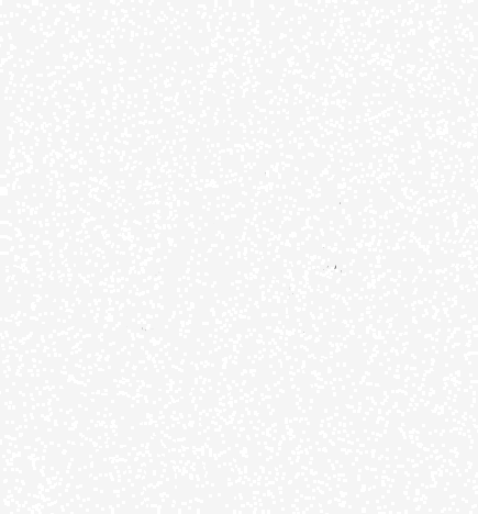 CCCCCCCCCCCCCC(=O)OC.c1ccc(-c2ccccc2)cc1